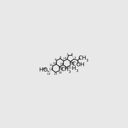 C[C@@H](O)[C@H]1CCC2C3CCC4C[C@@H](CO)CC[C@]4(C)C3CC[C@@]21C